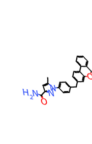 Cc1cc(C(N)=O)nn1-c1ccc(Cc2ccc3c(c2)OCc2ccccc2-3)cc1